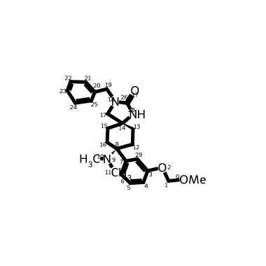 COCOc1cccc([C@]2(N(C)C)CC[C@@]3(CC2)CN(Cc2ccccc2)C(=O)N3)c1